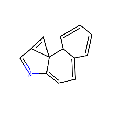 C1=CC2=CC=C3N=CC4=CC43C2C=C1